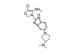 CN(C)C1CCN(c2ccc3[nH]c(N4[CH]OC(Cl)=C4N)nc3c2)C1